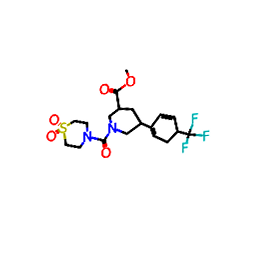 COC(=O)C1CC(C2=CCC(C(F)(F)F)C=C2)CN(C(=O)N2CCS(=O)(=O)CC2)C1